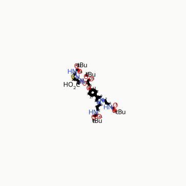 CC(C)(C)OC(=O)NCCCn1cc(-c2ccc(OCC(O/N=C(\C(=O)O)c3csc(NC(=O)OC(C)(C)C)n3)C(=O)OC(C)(C)C)cc2)c[n+]1CCCNC(=O)OC(C)(C)C